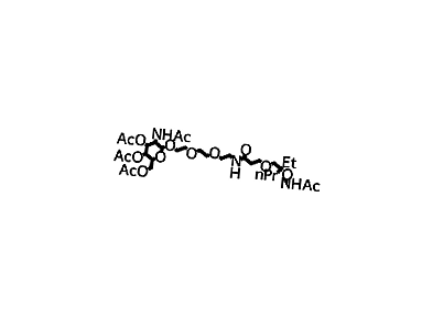 CCCC(CC)(COCCC(=O)NCCOCCOCCOC1OC(COC(C)=O)C(OC(C)=O)C(OC(C)=O)C1NC(C)=O)ONC(C)=O